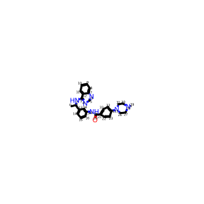 CC(Nc1ncnc2ccccc12)c1cccc(NC(=O)c2ccc(N3CCN(C)CC3)cc2)c1